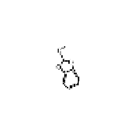 [CH2]OC1Oc2ccccc2O1